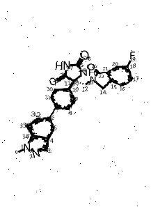 Cn1ncc2cc(-c3ccc([C@]4(CN5Cc6ccc(F)cc6C5=O)NC(=O)NC4=O)cc3)ccc21